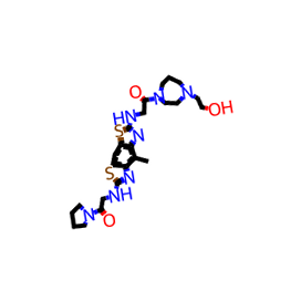 Cc1c2nc(NCC(=O)N3CCCC3)sc2cc2sc(NCC(=O)N3CCCN(CCO)CC3)nc12